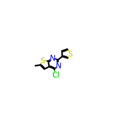 Cc1cc2c(Cl)nc(-c3ccsc3)nc2s1